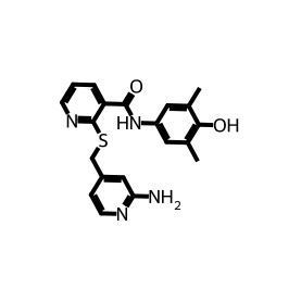 Cc1cc(NC(=O)c2cccnc2SCc2ccnc(N)c2)cc(C)c1O